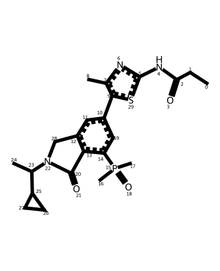 CCC(=O)Nc1nc(C)c(-c2cc3c(c(P(C)(C)=O)c2)C(=O)N(C(C)C2CC2)C3)s1